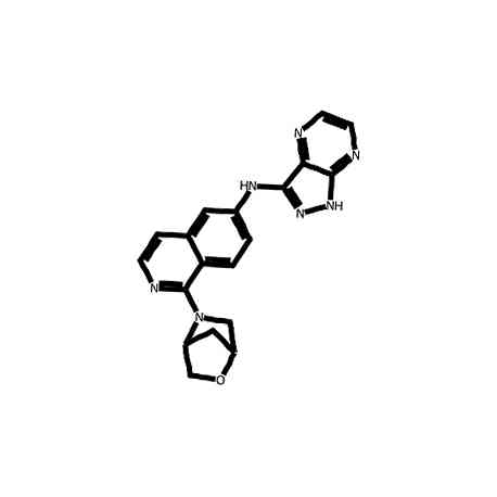 c1cc2cc(Nc3n[nH]c4nccnc34)ccc2c(N2CC3CC2CO3)n1